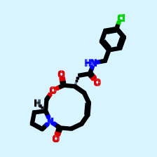 O=C(C[C@@H]1CC=CCCC(=O)N2CCC[C@H]2COC1=O)NCc1ccc(Cl)cc1